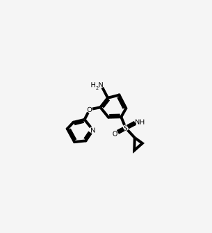 N=S(=O)(c1ccc(N)c(Oc2ccccn2)c1)C1CC1